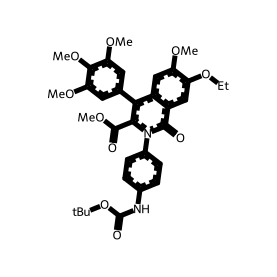 CCOc1cc2c(=O)n(-c3ccc(NC(=O)OC(C)(C)C)cc3)c(C(=O)OC)c(-c3cc(OC)c(OC)c(OC)c3)c2cc1OC